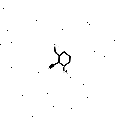 CCC1CCCN(C)C1C#N